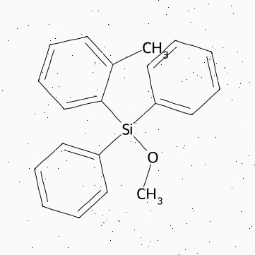 CO[Si](c1ccccc1)(c1ccccc1)c1ccccc1C